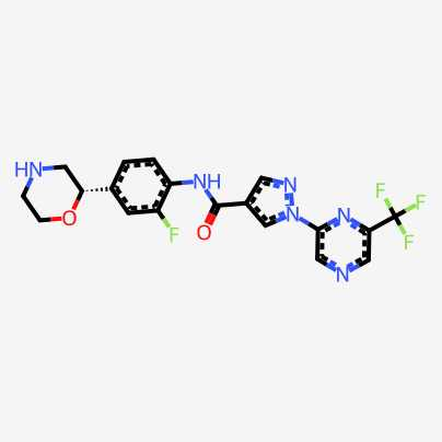 O=C(Nc1ccc([C@H]2CNCCO2)cc1F)c1cnn(-c2cncc(C(F)(F)F)n2)c1